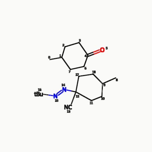 CC1CCC(=O)CC1.CC1CCC(C#N)(/N=N/C(C)(C)C)CC1